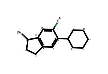 CC(C)C1CCc2cc(C3CCCCC3)c(Cl)cc21